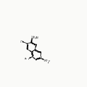 O=S(=O)(O)c1cc(O)c2cc(Cl)c(S(=O)(=O)O)cc2c1